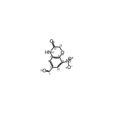 O=Cc1cc2c(c([N+](=O)[O-])c1)OCC(=O)N2